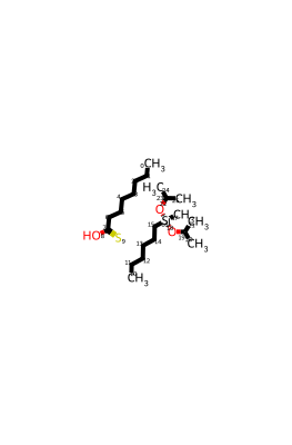 CCCCCCCC(O)=S.CCCCCC[Si](C)(OC(C)C)OC(C)C